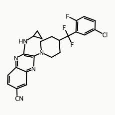 N#Cc1ccc2nc(NC3CC3)c(N3CCC(C(F)(F)c4cc(Cl)ccc4F)CC3)nc2c1